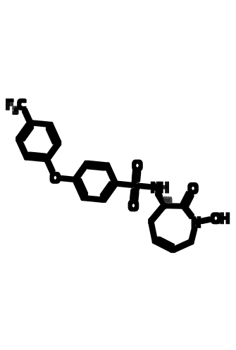 O=C1[C@H](NS(=O)(=O)c2ccc(Oc3ccc(C(F)(F)F)cc3)cc2)CC=CCN1O